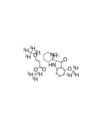 [2H]C([2H])([2H])O/C=C(/C(=O)OC([2H])([2H])[2H])[C@H]1C[C@@H]2N(CC[C@]23Nc2cccc(OC([2H])([2H])[2H])c2C3=O)C[C@H]1CC